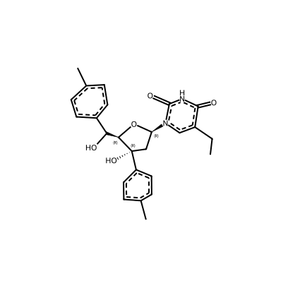 CCc1cn([C@H]2C[C@@](O)(c3ccc(C)cc3)[C@@H](C(O)c3ccc(C)cc3)O2)c(=O)[nH]c1=O